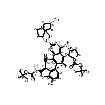 CN(c1nc(OC[C@@]23CCCN2C[C@H](F)C3)nc2c(F)c(-c3ccc(F)c4sc(NC(=O)OC(C)(C)C)c(C#N)c34)c(F)cc12)[C@H]1CCN(C(=O)OC(C)(C)C)C1